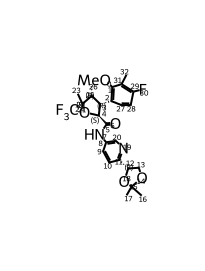 COc1c([C@@H]2[C@@H](C(=O)Nc3ccc([C@@H]4COC(C)(C)O4)nc3)O[C@](C)(C(F)(F)F)[C@@H]2C)ccc(F)c1C